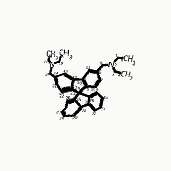 CCN(CC)Cc1ccc2c(c1)-c1cc(CN(CC)CC)ccc1C21c2ccccc2-c2ccccc21